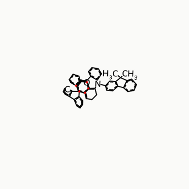 CC1(C)c2ccccc2-c2ccc(N(C3=C4Oc5ccccc5C5(C4=CCC3)c3ccccc3-c3ccccc35)c3ccccc3-c3c#cccc3)cc21